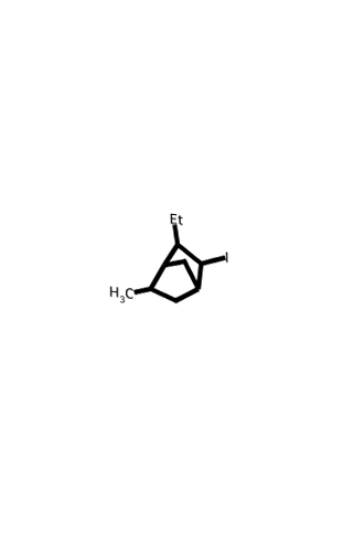 CCC1C(I)C2CC(C)C1C2